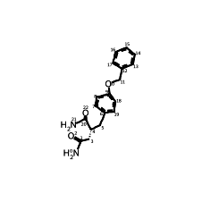 NC(=O)C[C@@H](Cc1ccc(OCc2ccccc2)cc1)C(N)=O